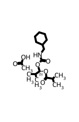 CC(=O)O.CC(C)C(=O)O[C@@H](OC(=O)NCC1CCCCC1)C(C)C